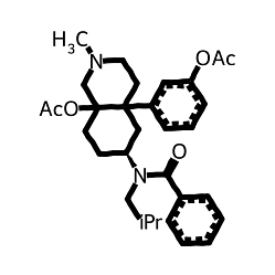 CC(=O)Oc1cccc(C23CCN(C)CC2(OC(C)=O)CC[C@H](N(CC(C)C)C(=O)c2ccccc2)C3)c1